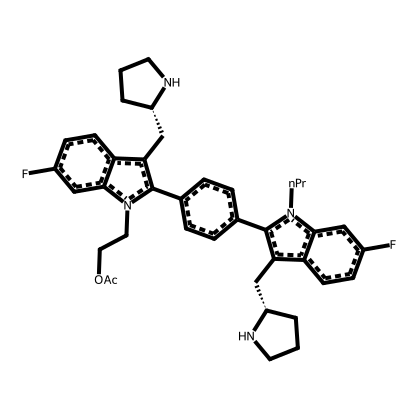 CCCn1c(-c2ccc(-c3c(C[C@@H]4CCCN4)c4ccc(F)cc4n3CCOC(C)=O)cc2)c(C[C@@H]2CCCN2)c2ccc(F)cc21